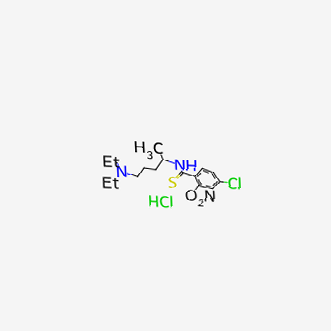 CCN(CC)CCCC(C)NC(=S)c1ccc(Cl)cc1[N+](=O)[O-].Cl